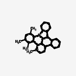 Cc1cc(C)c2c(c1C)c1c3c(cc[n+]1C)c1ccccc1c1c4ccccc4n2c13